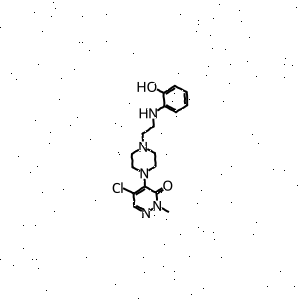 Cn1ncc(Cl)c(N2CCN(CCNc3ccccc3O)CC2)c1=O